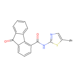 CC(C)c1cnc(NC(=O)c2cccc3c2-c2ccccc2C3=O)s1